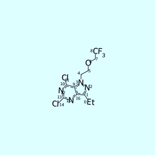 CCc1nn(CCOCC(F)(F)F)c2c(Cl)nc(Cl)nc12